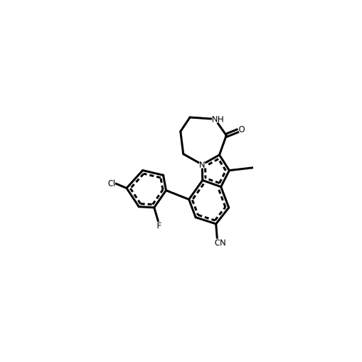 Cc1c2n(c3c(-c4ccc(Cl)cc4F)cc(C#N)cc13)CCCNC2=O